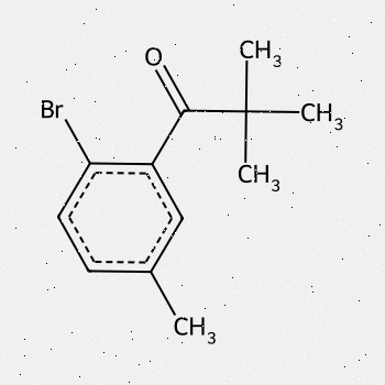 Cc1ccc(Br)c(C(=O)C(C)(C)C)c1